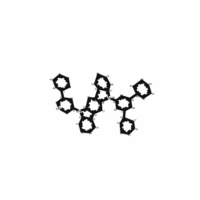 c1ccc(-c2cncc(-n3c4ccccc4c4cc5c(cc43)c3ccccc3n5-c3cc(-c4ccccc4)cc(-c4ccccc4)c3)c2)cc1